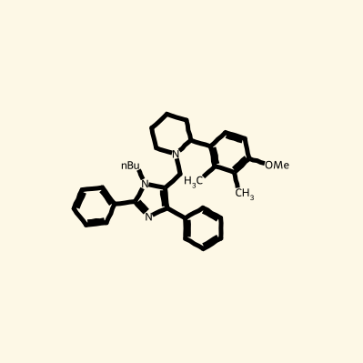 CCCCn1c(-c2ccccc2)nc(-c2ccccc2)c1CN1CCCCC1c1ccc(OC)c(C)c1C